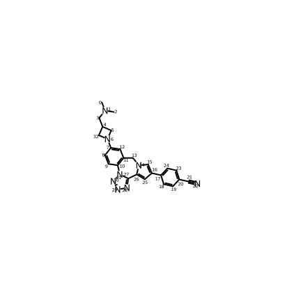 CN(C)CC1CN(c2ccc3c(c2)Cn2cc(-c4ccc(C#N)cc4)cc2-c2nnnn2-3)C1